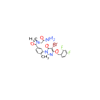 Cc1ccc(C(=O)N(C)CC(N)=O)cc1-n1cnc(OCc2ccc(F)cc2F)c(Br)c1=O